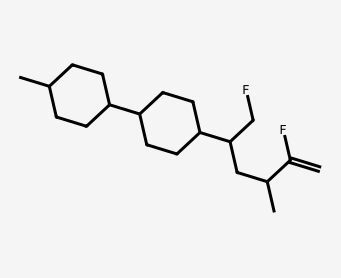 C=C(F)C(C)CC(CF)C1CCC(C2CCC(C)CC2)CC1